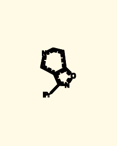 CC(C)c1noc2ccncc12